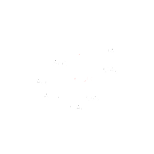 CC(=O)OCC1OCC(OC(C)=O)C(OC(C)=O)[C@@H]1O[C@@H]1OC(COC(C)=O)[C@@H](OC(C)=O)C(OC(C)=O)C1OC(C)=O